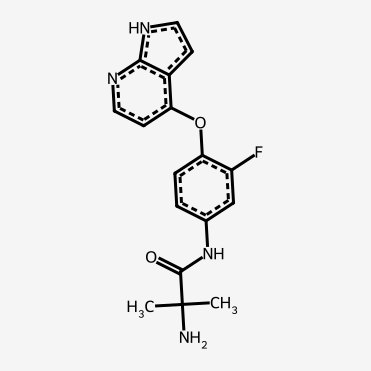 CC(C)(N)C(=O)Nc1ccc(Oc2ccnc3[nH]ccc23)c(F)c1